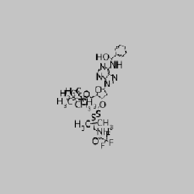 CC(C)(CNC(=O)C(F)(F)F)SSCOC1C[C@H](n2cnc3c(NC(O)c4ccccc4)ncnc32)O[C@@H]1CO[Si](C)(C)C(C)(C)C